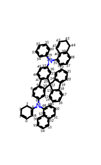 C1=CCCC(N(c2ccc3c(c2)C2(c4ccccc4-c4ccccc42)c2cc(N(c4ccccc4)c4cccc5c4C=CCC5)ccc2-3)c2cccc3ccccc23)=C1